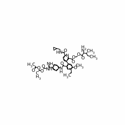 C=Cc1cc(C(=O)Nc2ccc(C(=N)NC(=O)OC(C)OC(C)=O)cc2)c(-c2ccc(C(=O)NCC3CC3)nc2C(=O)OCOC(=O)C(N)C(C)CC)cc1OC